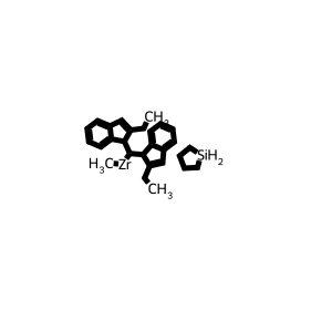 C1CC[SiH2]C1.CCC1=Cc2ccccc2C1[CH]([Zr][CH3])C1C(CC)=Cc2ccccc21